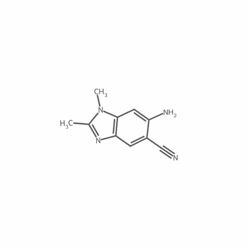 Cc1nc2cc(C#N)c(N)cc2n1C